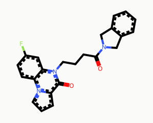 O=C(CCCn1c(=O)c2cccn2c2ccc(F)cc21)N1Cc2ccccc2C1